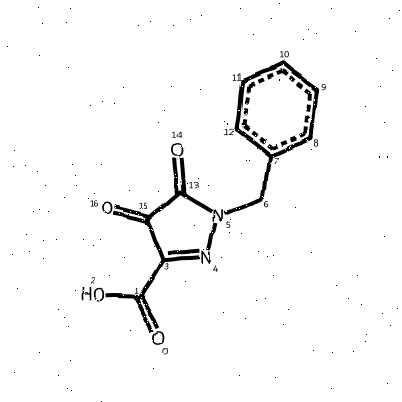 O=C(O)C1=NN(Cc2ccccc2)C(=O)C1=O